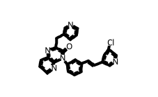 O=c1c(Cc2cccnc2)nc2cccnc2n1-c1cccc(/C=C/c2cncc(Cl)c2)c1